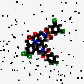 O=C1OCC2=CC(Cl)(Cl)CC=C2[N+]1(C1CCN(S(=O)(=O)c2ccc(F)cc2)CC1)C1CCN(S(=O)(=O)c2cc(Cl)cc(Cl)c2)CC1